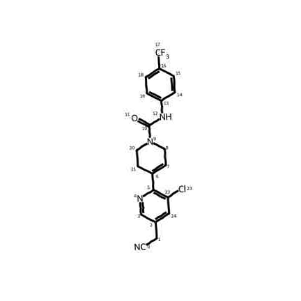 N#CCc1cnc(C2=CCN(C(=O)Nc3ccc(C(F)(F)F)cc3)CC2)c(Cl)c1